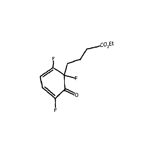 CCOC(=O)CCCC1(F)C(=O)C(F)=CC=C1F